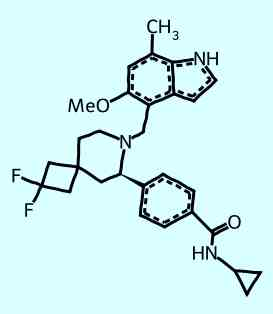 COc1cc(C)c2[nH]ccc2c1CN1CCC2(C[C@@H]1c1ccc(C(=O)NC3CC3)cc1)CC(F)(F)C2